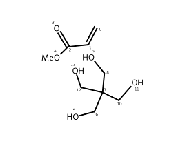 C=CC(=O)OC.OCC(CO)(CO)CO